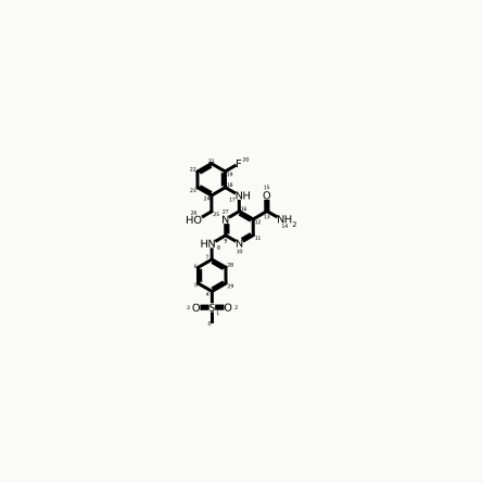 CS(=O)(=O)c1ccc(Nc2ncc(C(N)=O)c(Nc3c(F)cccc3CO)n2)cc1